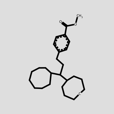 COC(=O)c1ccc(CCC(C2CCCCCCC2)C2CCCCCCC2)cc1